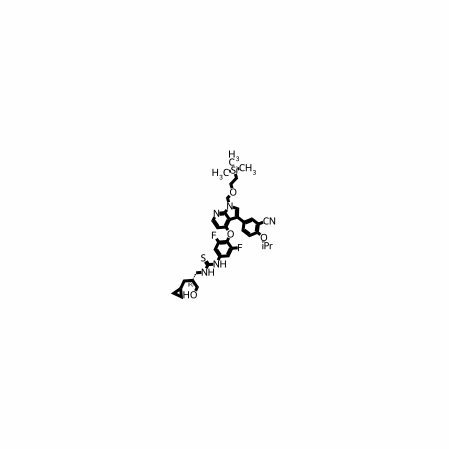 CC(C)Oc1ccc(-c2cn(COCC[Si](C)(C)C)c3nccc(Oc4c(F)cc(NC(=S)NC[C@H](CO)CC5CC5)cc4F)c23)cc1C#N